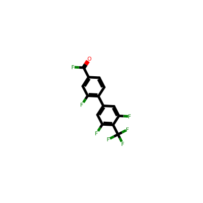 O=C(F)c1ccc(-c2cc(F)c(C(F)(F)F)c(F)c2)c(F)c1